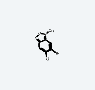 O[n+]1onc2cc(Cl)c(Br)cc21